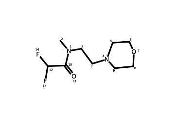 CN(CCN1CCOCC1)C(=O)C(F)F